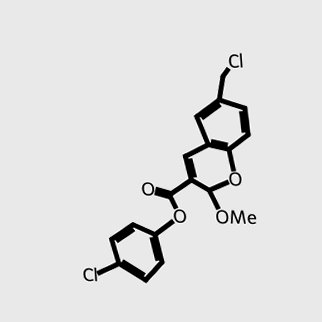 COC1Oc2ccc(CCl)cc2C=C1C(=O)Oc1ccc(Cl)cc1